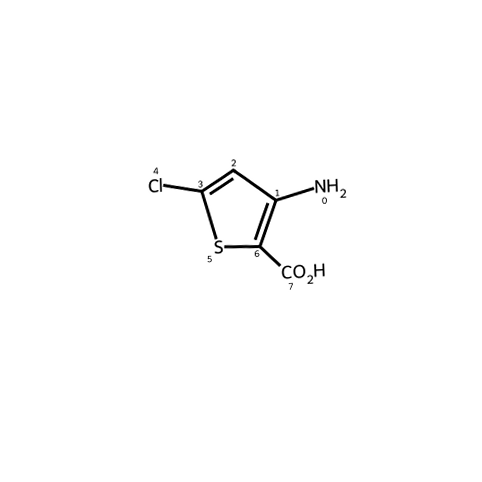 Nc1cc(Cl)sc1C(=O)O